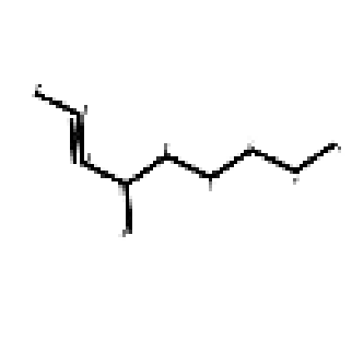 [CH2]C=CC(C)CCCCC